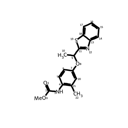 COC(=O)Nc1ccc(OC(C)c2nc3ccccc3s2)cc1C